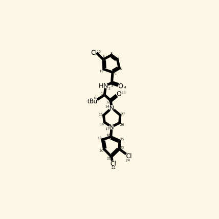 CC(C)(C)C(NC(=O)c1cccc(Cl)c1)C(=O)N1CCN(c2ccc(Cl)c(Cl)c2)CC1